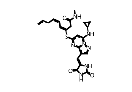 C=CC/C=C\C=C(/CC(=O)NC)Sc1cc(NC2CC2)n2ncc(/C=C3\NC(=O)NC3=O)c2n1